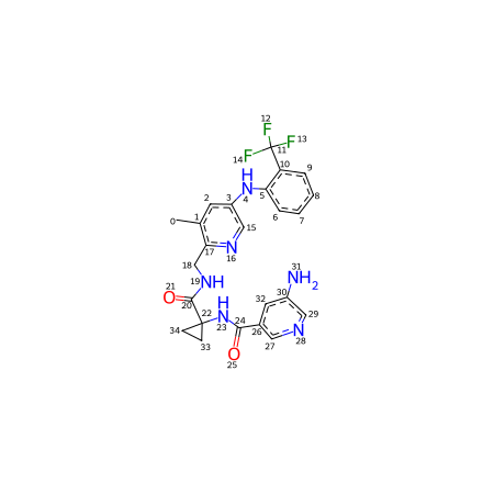 Cc1cc(Nc2ccccc2C(F)(F)F)cnc1CNC(=O)C1(NC(=O)c2cncc(N)c2)CC1